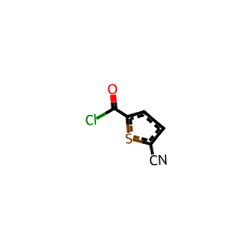 N#Cc1ccc(C(=O)Cl)s1